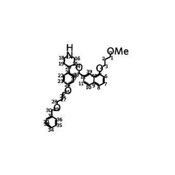 COCCCOc1cccc2ccc(COC3CNCCC3c3ccc(OCCCOCc4ccccc4)cc3)cc12